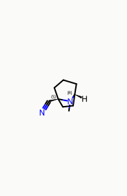 CN1[C@@H]2CCC[C@@]1(C#N)CC2